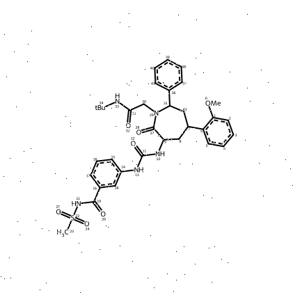 COc1ccccc1C1CC(NC(=O)Nc2cccc(C(=O)NS(C)(=O)=O)c2)C(=O)N(CC(=O)NC(C)(C)C)C(c2ccccc2)C1